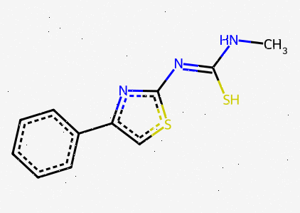 CN/C(S)=N/c1nc(-c2ccccc2)cs1